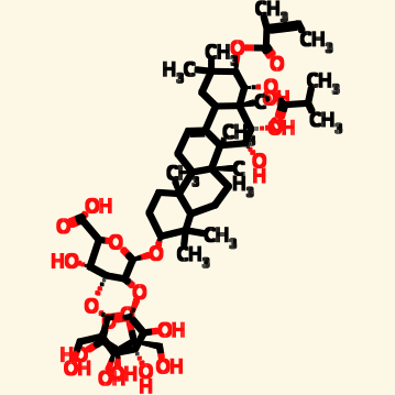 C/C=C(/C)C(=O)O[C@H]1[C@H](OC(=O)C(C)C)[C@@]2(CO)C(CC1(C)C)C1=CCC3[C@@]4(C)CC[C@H](O[C@@H]5OC(C(=O)O)[C@@H](O)[C@@H](O[C@@H]6O[C@@H](CO)[C@@H](O)C6O)C5O[C@@H]5OC(CO)[C@H](O)[C@@H](O)C5O)C(C)(C)C4CC[C@@]3(C)[C@]1(C)[C@@H](O)[C@H]2O